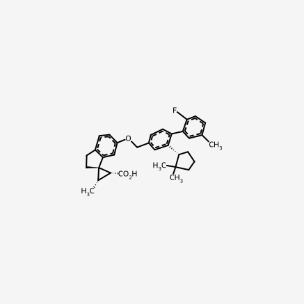 Cc1ccc(F)c(-c2ccc(COc3ccc4c(c3)[C@]3(CC4)[C@H](C(=O)O)[C@@H]3C)cc2[C@@H]2CCCC2(C)C)c1